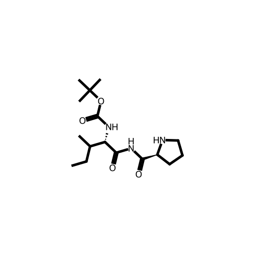 CCC(C)[C@H](NC(=O)OC(C)(C)C)C(=O)NC(=O)[C@@H]1CCCN1